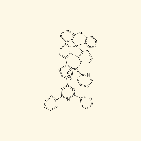 c1ccc(-c2nc(-c3ccccc3)nc(-c3ccc(-c4cccc5c4-c4c(-c6cccc7cccnc67)cccc4C54c5ccccc5Sc5ccccc54)cc3)n2)cc1